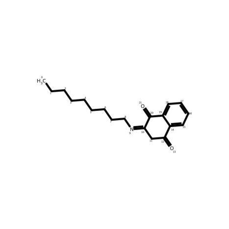 CCCCCCCCCN=C1CC(=O)c2ccccc2C1=O